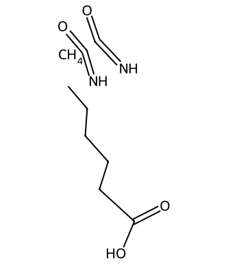 C.CCCCCC(=O)O.N=C=O.N=C=O